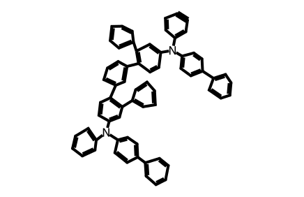 c1ccc(N(c2ccc(-c3ccccc3)cc2)c2ccc(-c3cccc(-c4ccc(N(c5ccccc5)c5ccc(-c6ccccc6)cc5)cc4-c4ccccc4)c3)c(-c3ccccc3)c2)cc#1